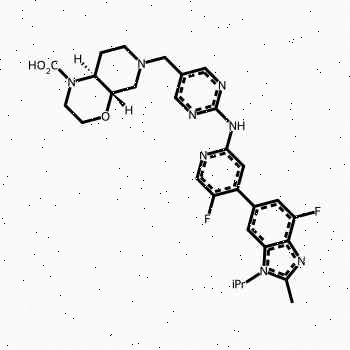 Cc1nc2c(F)cc(-c3cc(Nc4ncc(CN5CC[C@H]6[C@H](C5)OCCN6C(=O)O)cn4)ncc3F)cc2n1C(C)C